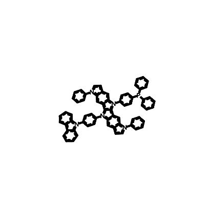 c1ccc(-n2ccc3cc4c(cc32)c2c(c3cc5c(ccn5-c5ccccc5)cc3n2-c2ccc(-n3c5ccccc5c5ccccc53)cc2)n4-c2ccc(P(c3ccccc3)c3ccccc3)cc2)cc1